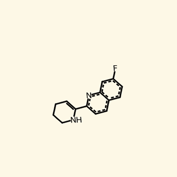 Fc1ccc2ccc(C3=CCCCN3)nc2c1